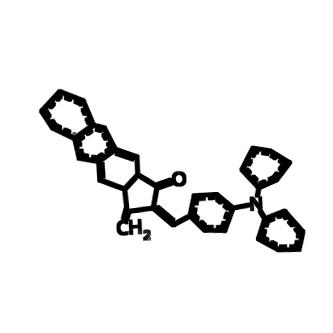 C=C1/C(=C/c2ccc(N(c3ccccc3)c3ccccc3)cc2)C(=O)C2C=c3cc4ccccc4cc3=CC12